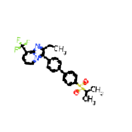 CCc1nc2c(C(F)(F)F)cccn2c1-c1ccc(-c2ccc(S(=O)(=O)C(C)C)cc2)cc1